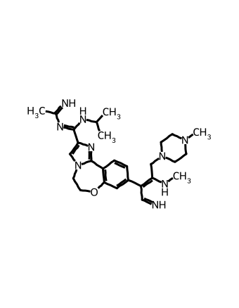 CN/C(CN1CCN(C)CC1)=C(\C=N)c1ccc2c(c1)OCCn1cc(/C(=N/C(C)=N)NC(C)C)nc1-2